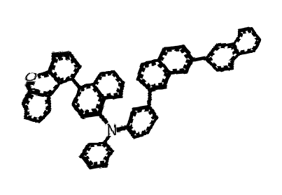 c1ccc(N(c2cccc(-c3ccc4ccc(-c5ccc6ccccc6c5)cc4c3)c2)c2ccc(-c3cccc4oc5ccccc5c34)c3ccccc23)cc1